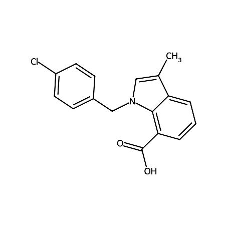 Cc1cn(Cc2ccc(Cl)cc2)c2c(C(=O)O)cccc12